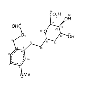 CNc1ccc(COC=O)c(CCC2CC(O)[C@H](O)C(C(=O)O)O2)c1